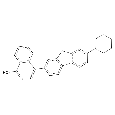 O=C(O)c1ccccc1C(=O)c1ccc2c(c1)Cc1cc(C3CCCCC3)ccc1-2